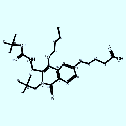 CCCCOc1c(CNC(=O)OC(C)(C)C)n(CC(C)(C)C)c(=O)c2ccc(CCCCC(=O)O)cc12